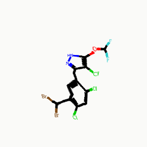 FC(F)Oc1[nH]nc(-c2cc(C(Br)Br)c(Cl)cc2Cl)c1Cl